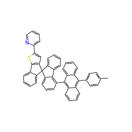 Cc1ccc(-c2c3ccccc3c(-c3cccc4c3-c3ccccc3C43c4ccccc4-c4sc(-c5ccccn5)cc43)c3ccccc23)cc1